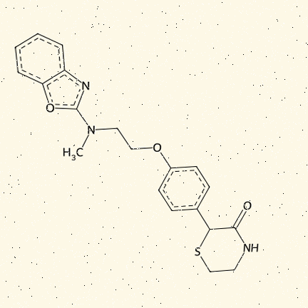 CN(CCOc1ccc(C2SCCNC2=O)cc1)c1nc2ccccc2o1